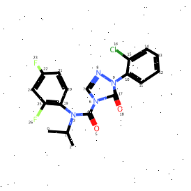 CC(C)N(C(=O)n1cnn(-c2ccccc2Cl)c1=O)c1ccc(F)cc1F